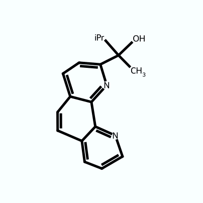 CC(C)C(C)(O)c1ccc2ccc3cccnc3c2n1